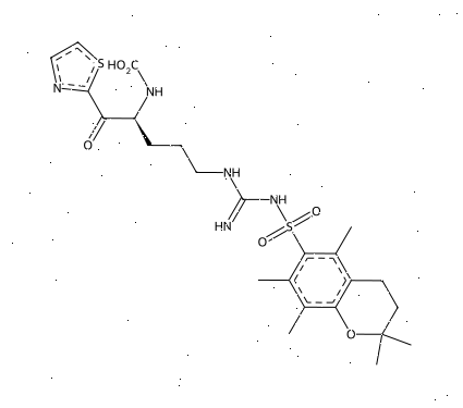 Cc1c(C)c(S(=O)(=O)NC(=N)NCCC[C@H](NC(=O)O)C(=O)c2nccs2)c(C)c2c1OC(C)(C)CC2